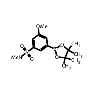 CNS(=O)(=O)c1cc(OC)cc(B2OC(C)(C)C(C)(C)O2)c1